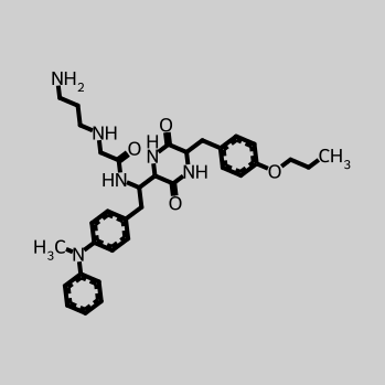 CCCOc1ccc(CC2NC(=O)C(C(Cc3ccc(N(C)c4ccccc4)cc3)NC(=O)CNCCCN)NC2=O)cc1